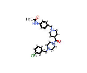 CC(=O)Nc1ccc(CN2CCC(C(=O)N3CCN(Cc4cccc(Cl)c4)CC3)CC2)cc1